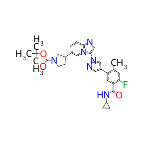 Cc1cc(F)c(C(=O)NC2CC2)cc1-c1cnn(-c2cnc3ccc(C4CCN(C(=O)OC(C)(C)C)C4)cn23)c1